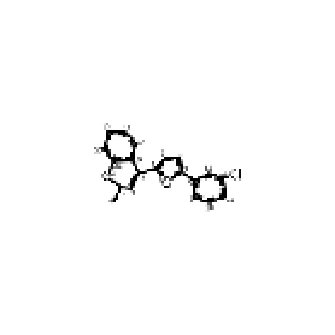 CC1C=C(c2ccc(-c3cccc(Cl)c3)o2)c2ccccc2O1